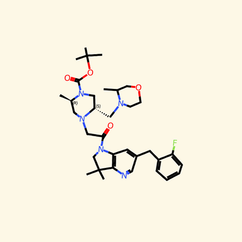 CC1COCCN1C[C@H]1CN(C(=O)OC(C)(C)C)[C@H](C)CN1CC(=O)N1CC(C)(C)c2ncc(Cc3ccccc3F)cc21